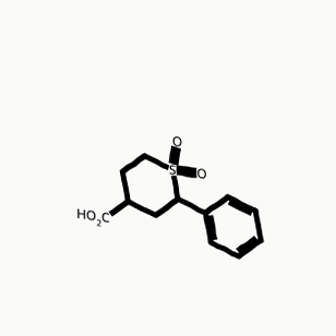 O=C(O)C1CCS(=O)(=O)C(c2ccccc2)C1